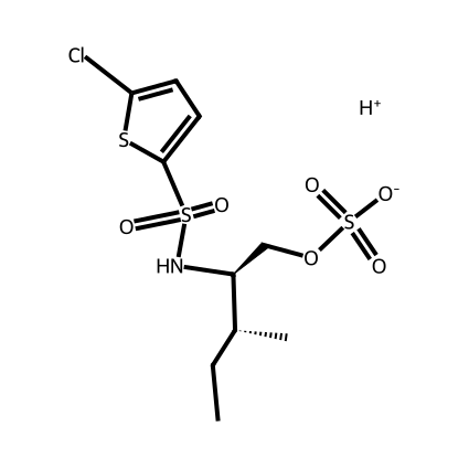 CC[C@@H](C)[C@H](COS(=O)(=O)[O-])NS(=O)(=O)c1ccc(Cl)s1.[H+]